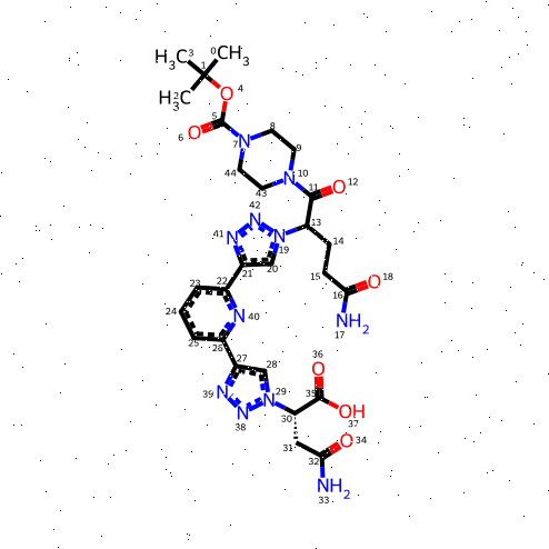 CC(C)(C)OC(=O)N1CCN(C(=O)C(CCC(N)=O)n2cc(-c3cccc(-c4cn([C@@H](CC(N)=O)C(=O)O)nn4)n3)nn2)CC1